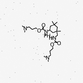 CN(C)CCCOC(=O)NCC1(C)CC(N(P)C(=O)OCCCN(C)C)CC(C)(C)C1